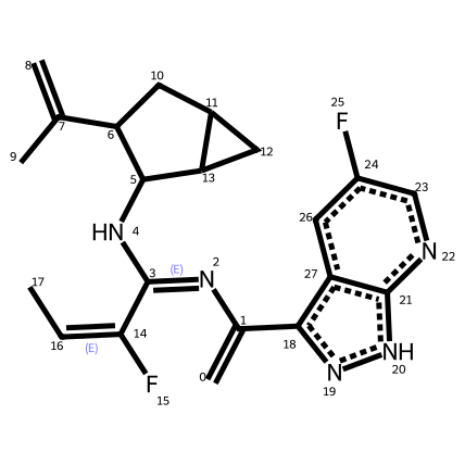 C=C(/N=C(NC1C(C(=C)C)CC2CC21)\C(F)=C/C)c1n[nH]c2ncc(F)cc12